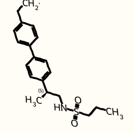 [CH2]Cc1ccc(-c2ccc([C@H](C)CNS(=O)(=O)CCC)cc2)cc1